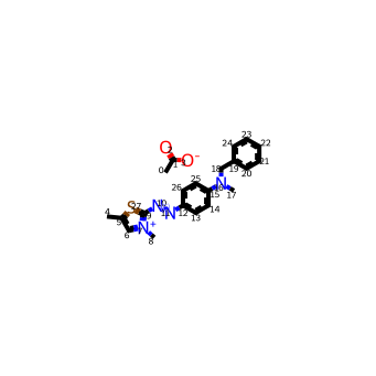 CC(=O)[O-].Cc1c[n+](C)c(/N=N/c2ccc(N(C)Cc3ccccc3)cc2)s1